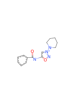 O=C([N-]c1c[n+](N2CCCCC2)no1)c1ccccc1